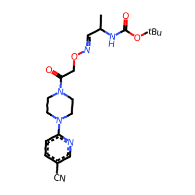 CC(/C=N/OCC(=O)N1CCN(c2ccc(C#N)cn2)CC1)NC(=O)OC(C)(C)C